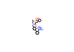 CCCN(Cc1ccc(-c2ccccc2-c2nnn[nH]2)cc1)C(=O)CCC1(C(=O)O)CCCC1